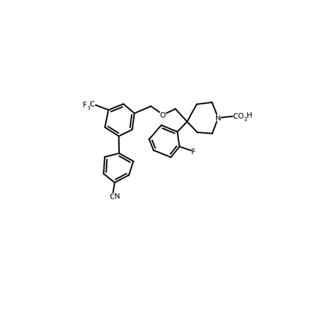 N#Cc1ccc(-c2cc(COCC3(c4ccccc4F)CCN(C(=O)O)CC3)cc(C(F)(F)F)c2)cc1